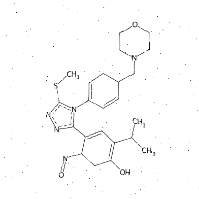 CSc1nnc(C2=CC(C(C)C)=C(O)CC2N=O)n1C1=CCC(CN2CCOCC2)C=C1